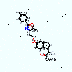 CCC(C(=O)OC)C1CCc2cc(OCCc3nc(-c4ccc(C)cc4)oc3C)ccc21